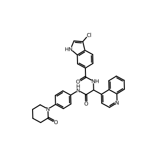 O=C(NC(C(=O)Nc1ccc(N2CCCCC2=O)cc1)c1ccnc2ccccc12)c1ccc2c(Cl)c[nH]c2c1